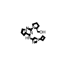 OC[C@@H]1CCCN1c1nc(Nc2cn(C3CCC3)cn2)c2cccn2n1